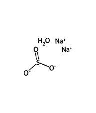 O.O=S([O-])[O-].[Na+].[Na+]